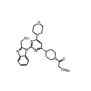 COCC(=O)N1CCN(c2cc(N3CCOCC3)nc(-n3c(CO)nc4ccccc43)n2)CC1